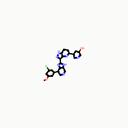 COc1cc(F)cc(-c2cncc3[nH]c(-c4n[nH]c5ccc(-c6cncc(O)c6)nc45)nc23)c1